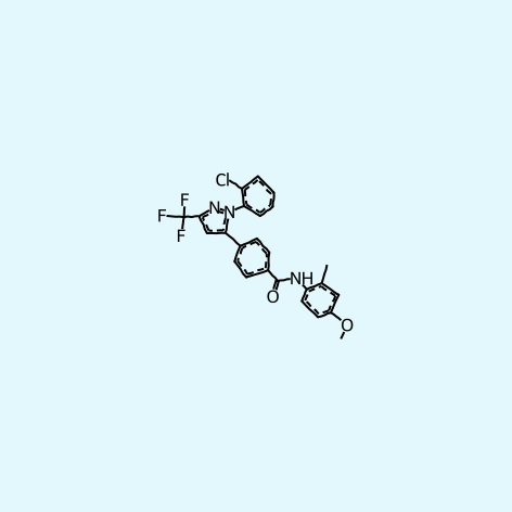 COc1ccc(NC(=O)c2ccc(-c3cc(C(F)(F)F)nn3-c3ccccc3Cl)cc2)c(C)c1